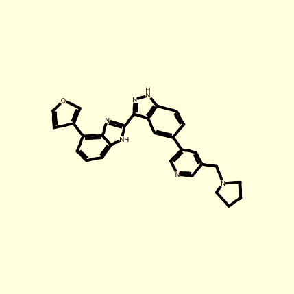 c1cc(-c2ccoc2)c2nc(-c3n[nH]c4ccc(-c5cncc(CN6CCCC6)c5)cc34)[nH]c2c1